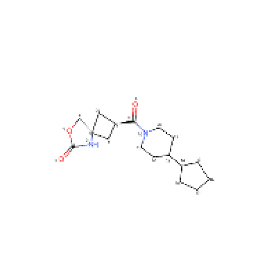 O=C1N[C@]2(CO1)C[C@H](C(=O)N1CCC(C3CCCC3)CC1)C2